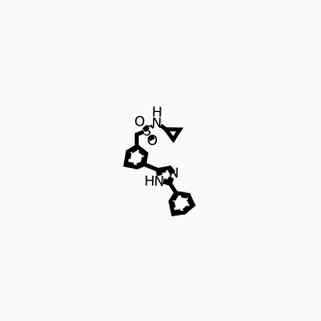 O=S(=O)(Cc1cccc(-c2cnc(-c3ccccc3)[nH]2)c1)NC1CC1